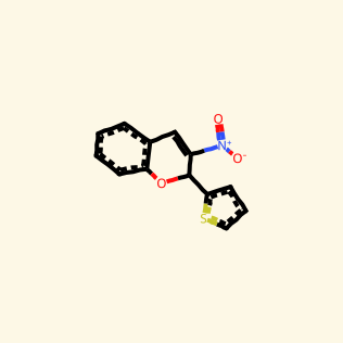 O=[N+]([O-])C1=Cc2ccccc2OC1c1cccs1